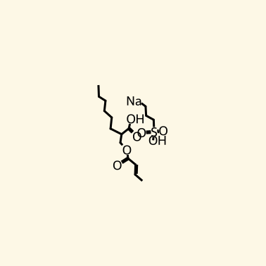 CC=CC(=O)OCC(CCCCCC)C(=O)O.O=S(=O)(O)CC[CH2][Na]